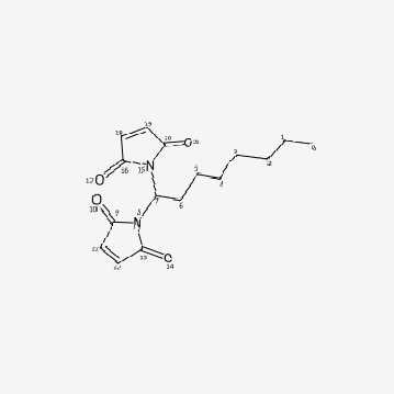 CCCCCCCC(N1C(=O)C=CC1=O)N1C(=O)C=CC1=O